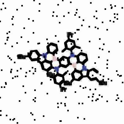 C=Cc1c(/C=C/C(C)(C)C)c2cc(C(C)(C)C)cc3c2n1-c1cccc2c1B3c1cc3c(cc1N2c1c(C)cc(C(C)C)cc1C)B1c2ccccc2-n2c4ccc(C(C)(C)C)cc4c4cc(C(C)(C)C)c(c1c42)N3c1c(C)cc(C(C)C)cc1C